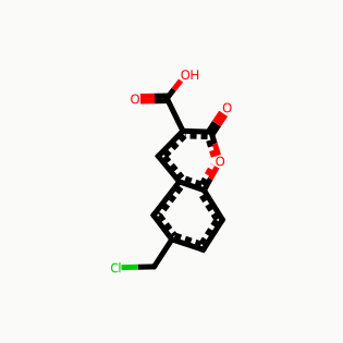 O=C(O)c1cc2cc(CCl)ccc2oc1=O